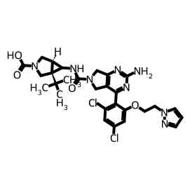 CC(C)(C)[C@@]12CN(C(=O)O)C[C@H]1C2NC(=O)N1Cc2nc(N)nc(-c3c(Cl)cc(Cl)cc3OCCn3cccn3)c2C1